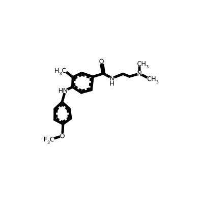 Cc1cc(C(=O)NCCN(C)C)ccc1Nc1ccc(OC(F)(F)F)cc1